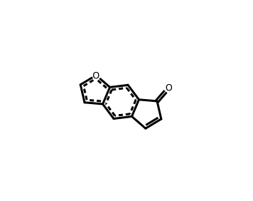 O=C1C=Cc2cc3ccoc3cc21